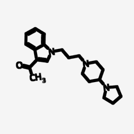 CC(=O)c1cn(CCCN2CCC(N3CCCC3)CC2)c2ccccc12